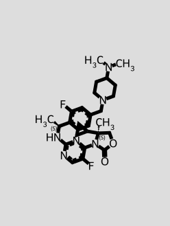 C[C@H](Nc1ncc(F)c(N2C(=O)OC[C@]2(C)C2CC2)n1)c1ccc(CN2CCC(N(C)C)CC2)cc1F